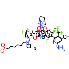 Cc1cc(N)nc(-c2c(Cl)cc3c(N4CC5CCC(C4)N5C(=O)OC(C)(C)C)nc(OC[C@]4(CN(C)CCCCCCC(=O)O)CC4(F)F)nc3c2F)c1C(F)(F)F